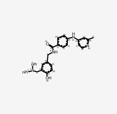 CCCN(CCC)Cc1cc(CNC(=O)c2ccc(Nc3ccnc(C)c3)cc2)ccc1O